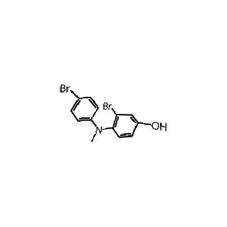 CN(c1ccc(Br)cc1)c1ccc(O)cc1Br